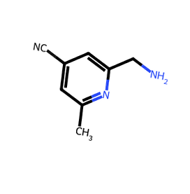 Cc1cc(C#N)cc(CN)n1